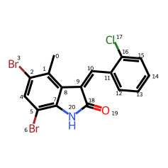 Cc1c(Br)cc(Br)c2c1C(=Cc1ccccc1Cl)C(=O)N2